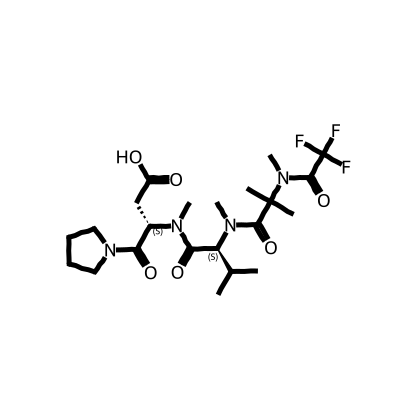 CC(C)[C@@H](C(=O)N(C)[C@@H](CC(=O)O)C(=O)N1CCCC1)N(C)C(=O)C(C)(C)N(C)C(=O)C(F)(F)F